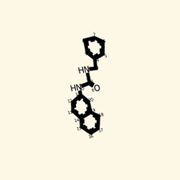 O=C(NCc1ccccc1)Nc1ccc2ccccc2c1